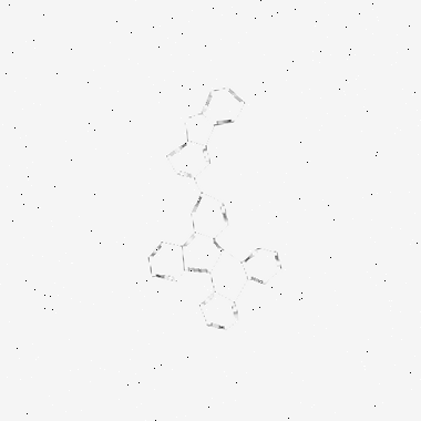 c1ccc2c(c1)sc1ccc(-c3ccc4c(c3)c3ccccc3c3c5ccccc5c5ccccc5c43)cc12